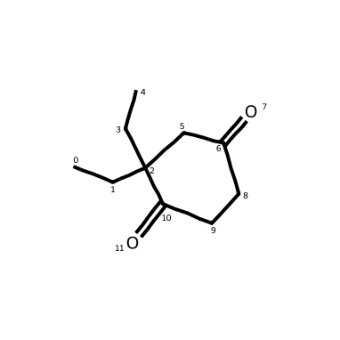 CCC1(CC)CC(=O)CCC1=O